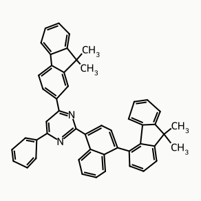 CC1(C)c2ccccc2-c2ccc(-c3cc(-c4ccccc4)nc(-c4ccc(-c5cccc6c5-c5ccccc5C6(C)C)c5ccccc45)n3)cc21